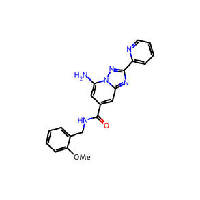 COc1ccccc1CNC(=O)c1cc(N)n2nc(-c3ccccn3)nc2c1